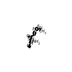 C[S+]([O-])c1cc(N2CCN(CCn3c(=O)sc4c3nc(N)n3nc(-c5ccco5)cc43)CC2)c(F)cc1F